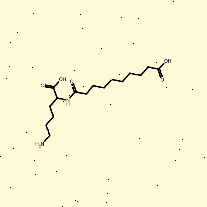 NCCCCC(NC(=O)CCCCCCCCC(=O)O)C(=O)O